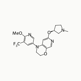 COc1ncc(N2CCOc3cnc(O[C@H]4CCN(C)C4)cc32)cc1C(F)(F)F